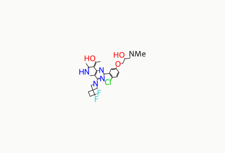 CNC[C@@H](O)COc1ccc(Cl)c(-c2nc(/C(C(C)=N)=C(\C)O)c(C)c(N3CC4(CCC4(F)F)C3)n2)c1